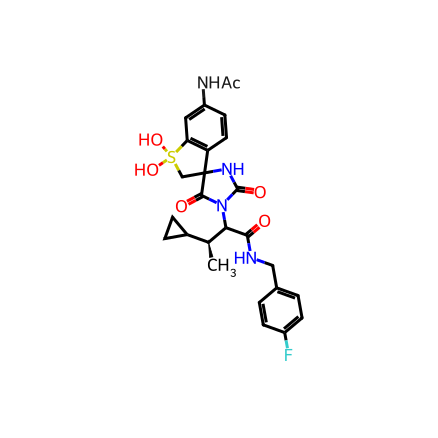 CC(=O)Nc1ccc2c(c1)S(O)(O)CC21NC(=O)N(C(C(=O)NCc2ccc(F)cc2)[C@@H](C)C2CC2)C1=O